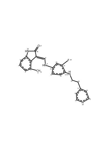 Cc1cccc2c1/C(=C\Nc1ccc(NCCc3ccncc3)c(F)c1)C(=O)N2